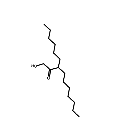 CCCCCCCC(CCCCCC)C(=O)CO